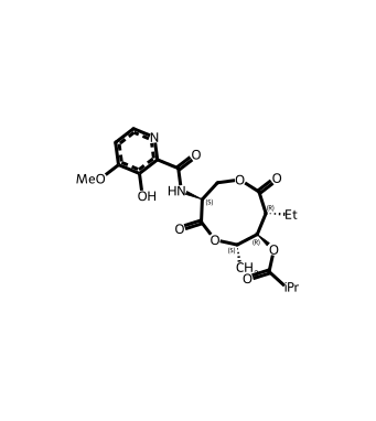 CC[C@H]1C(=O)OC[C@H](NC(=O)c2nccc(OC)c2O)C(=O)O[C@@H](C)[C@@H]1OC(=O)C(C)C